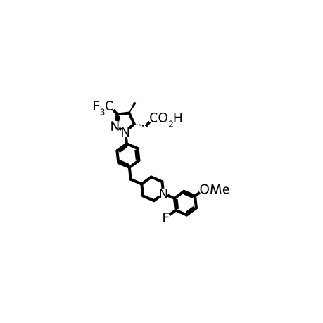 COc1ccc(F)c(N2CCC(Cc3ccc(N4N=C(C(F)(F)F)[C@@H](C)[C@@H]4CC(=O)O)cc3)CC2)c1